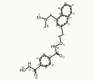 CCN(CC)Cc1cc(CCONC(=O)c2ccc(C(=O)NO)cc2)cc2ccccc12